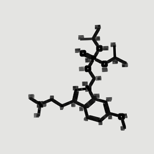 COc1ccc2c(CCN(C)C)cn(COP(=O)(OC(C)C)OC(C)C)c2c1